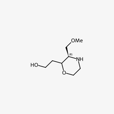 COC[C@H]1NCCOC1CCO